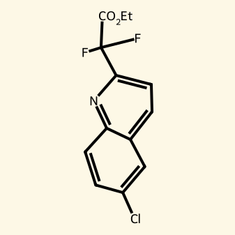 CCOC(=O)C(F)(F)c1ccc2cc(Cl)ccc2n1